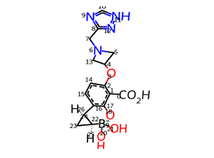 O=C(O)c1c(OC2CN(Cc3nc[nH]n3)C2)ccc2c1O[B-](O)(O)[C@H]1C[C@@H]21